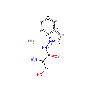 Cl.NC(CO)C(=O)Nn1ccc2ccccc21